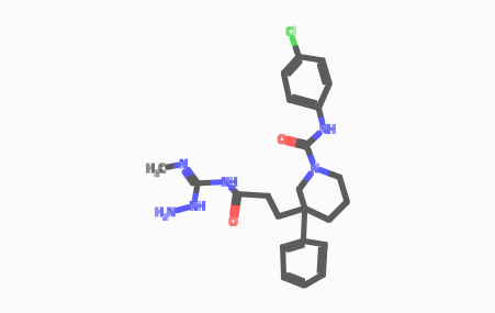 C/N=C(\NN)NC(=O)CCC1(c2ccccc2)CCCN(C(=O)Nc2ccc(Cl)cc2)C1